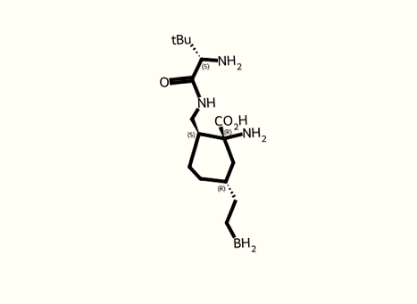 BCC[C@@H]1CC[C@@H](CNC(=O)[C@@H](N)C(C)(C)C)[C@@](N)(C(=O)O)C1